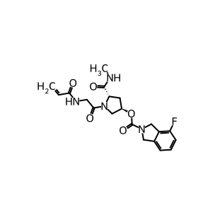 C=CC(=O)NCC(=O)N1C[C@H](OC(=O)N2Cc3cccc(F)c3C2)C[C@H]1C(=O)NC